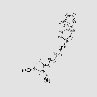 OCC1CC(O)CCN1CCCCCOCc1ccc(-c2cccs2)cc1